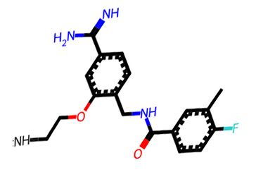 CC(=O)NCCOc1cc(C(=N)N)ccc1CNC(=O)c1ccc(F)c(C)c1